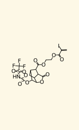 C=C(I)C(=O)OCCOC(=O)C1C2CC3C(OC(=O)C31)C2OS(=O)(=O)NS(=O)(=O)C(F)(F)F